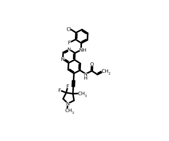 C=CC(=O)Nc1cc2c(Nc3cccc(Cl)c3F)ncnc2cc1C#CC1(C)CN(C)CC1(F)F